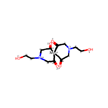 O=[C]1CN(CCO)C[C](=O)[Mn]12[C](=O)CN(CCO)C[C]2=O